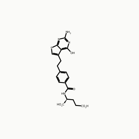 Nc1nc(O)c2c(CCc3ccc(C(=O)N[C@@H](CCC(=O)O)C(=O)O)cc3)csc2n1